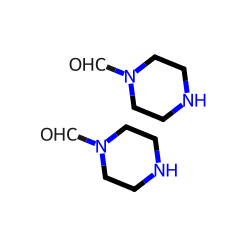 O=CN1CCNCC1.O=CN1CCNCC1